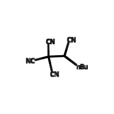 CCCCC(C#N)C(C#N)(C#N)C#N